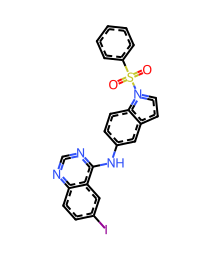 O=S(=O)(c1ccccc1)n1ccc2cc(Nc3ncnc4ccc(I)cc34)ccc21